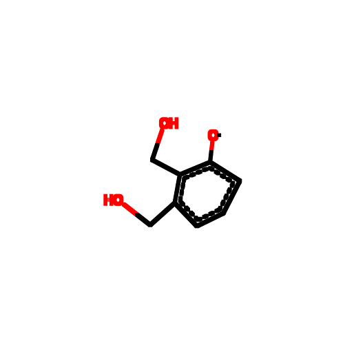 [O]c1cccc(CO)c1CO